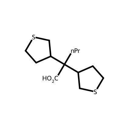 CCCC(C(=O)O)(C1CCSC1)C1CCSC1